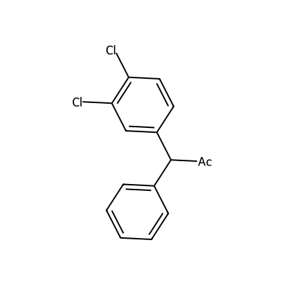 CC(=O)C(c1ccccc1)c1ccc(Cl)c(Cl)c1